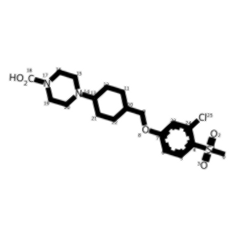 CS(=O)(=O)c1ccc(OCC2CCC(N3CCN(C(=O)O)CC3)CC2)cc1Cl